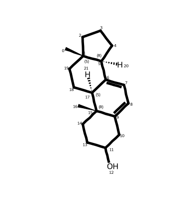 C[C@@]12CCC[C@H]1C1=CC=C3CC(O)CC[C@]3(C)[C@H]1CC2